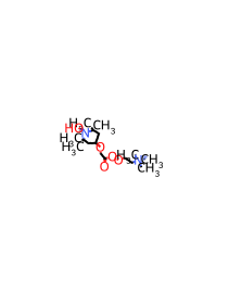 CC1(C)CC(OCC(=O)OOCC[N+](C)(C)C)CC(C)(C)N1O